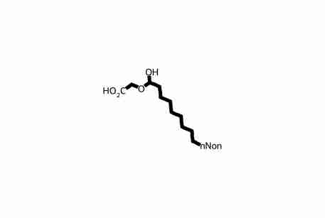 CCCCCCCCCCCCCCCCCC(O)OCC(=O)O